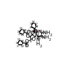 Nc1nc(=O)n(C2OC(COC(=O)c3ccccc3)C(OC(=O)c3ccccc3)C2OC(=O)c2ccccc2)c(N)c1N